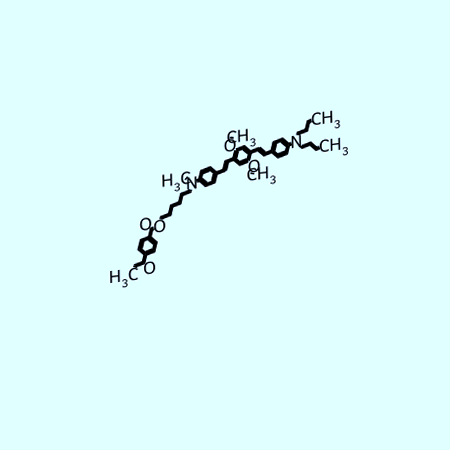 CCCCN(CCCC)c1ccc(/C=C/c2cc(OC)c(/C=C/c3ccc(N(C)CCCCCCOC(=O)c4ccc(C(=O)CC)cc4)cc3)cc2OC)cc1